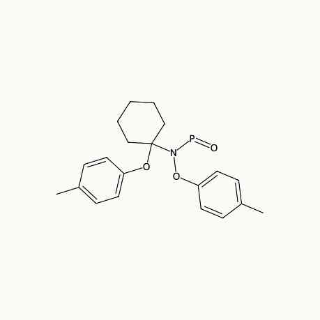 Cc1ccc(ON(P=O)C2(Oc3ccc(C)cc3)CCCCC2)cc1